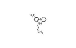 CCCCNc1ccc(C)cc1N1CCCCC1